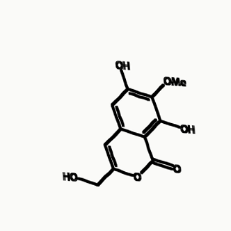 COc1c(O)cc2cc(CO)oc(=O)c2c1O